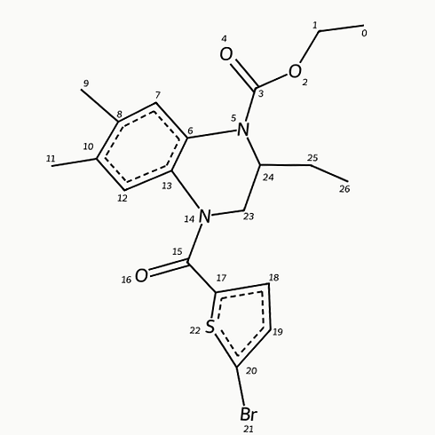 CCOC(=O)N1c2cc(C)c(C)cc2N(C(=O)c2ccc(Br)s2)CC1CC